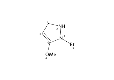 CCN1NCC=C1OC